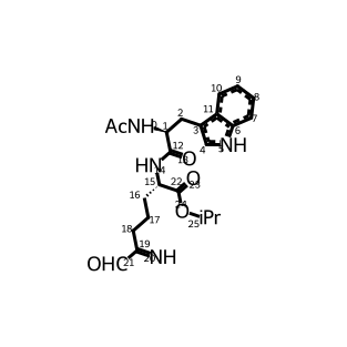 CC(=O)N[C@@H](Cc1c[nH]c2ccccc12)C(=O)N[C@@H](CCCC(=N)C=O)C(=O)OC(C)C